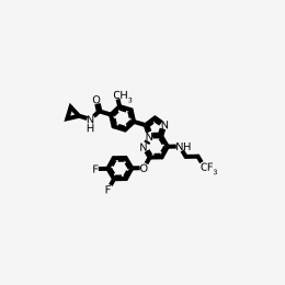 Cc1cc(-c2cnc3c(NCCC(F)(F)F)cc(Oc4ccc(F)c(F)c4)nn23)ccc1C(=O)NC1CC1